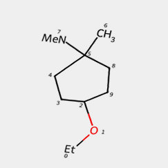 CCOC1CCC(C)(NC)CC1